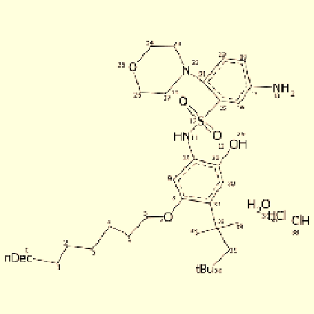 CCCCCCCCCCCCCCCCOc1cc(NS(=O)(=O)c2cc(N)ccc2N2CCOCC2)c(O)cc1C(C)(C)CC(C)(C)C.Cl.Cl.O